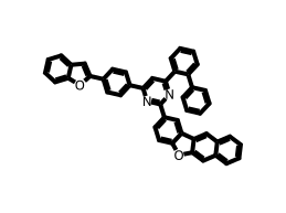 c1ccc(-c2ccccc2-c2cc(-c3ccc(-c4cc5ccccc5o4)cc3)nc(-c3ccc4oc5cc6ccccc6cc5c4c3)n2)cc1